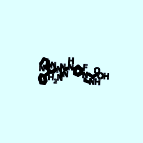 Nc1nc(Nc2ccc(N3CCNC(C(=O)O)C3)c(F)c2)nn1-c1cc(-c2ccccc2)c2c(n1)C1CCN2CC1